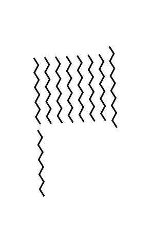 CCCCCCCCCC.CCCCCCCCCC.CCCCCCCCCC.CCCCCCCCCC.CCCCCCCCCC.CCCCCCCCCC.CCCCCCCCCC.CCCCCCCCCC.CCCCCCCCCCCC